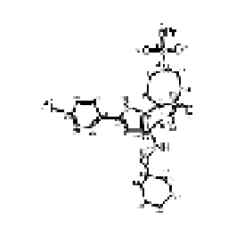 CCCS(=O)(=O)N1CC[C@](CC(=O)NOC2CCCCO2)(c2ccc(-c3ccc(Cl)cc3)s2)S(=O)(=O)CC1